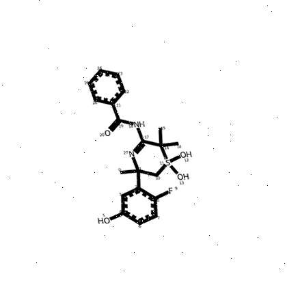 CC1(c2cc(O)ccc2F)CS(O)(O)C(C)(C)C(NC(=O)c2ccccc2)=N1